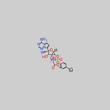 CCOC(=O)[C@H](C)NP(=O)(Oc1ccc(C23CC(C2)C3)cc1)OC1[C@H]2O[C@@](C#N)(c3ccc4c(N)ncnn34)[C@H](O)[C@@]12O